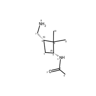 CC(=O)N[C@@H]1C[C@H](CN)C1(C)C